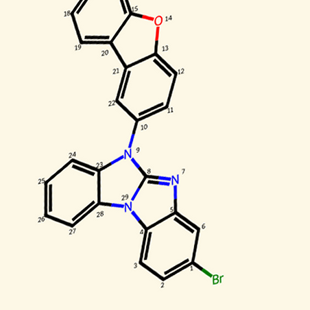 Brc1ccc2c(c1)nc1n(-c3ccc4oc5ccccc5c4c3)c3ccccc3n21